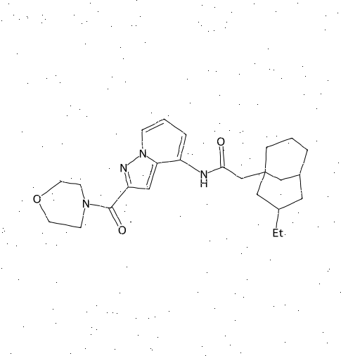 CCC1CC2CCCC(CC(=O)Nc3cccn4nc(C(=O)N5CCOCC5)cc34)(C1)C2